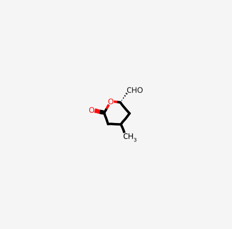 CC1CC(=O)O[C@H](C=O)C1